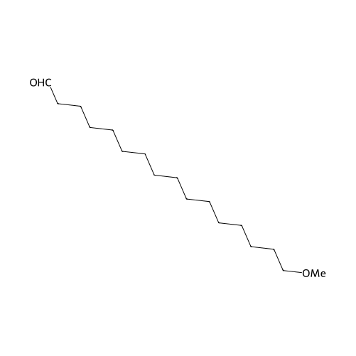 COCCCCCCCCCCCCCCCC=O